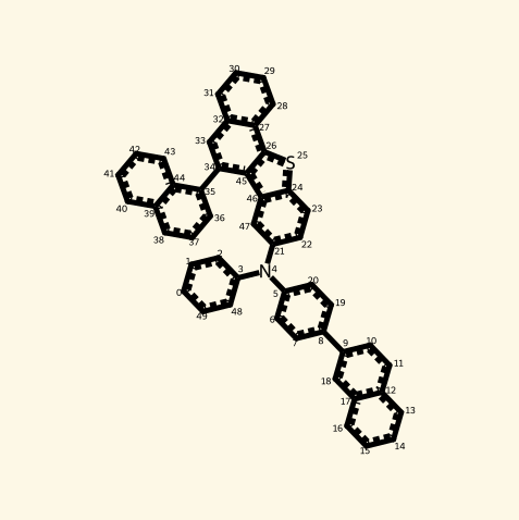 c1ccc(N(c2ccc(-c3ccc4ccccc4c3)cc2)c2ccc3sc4c5ccccc5cc(-c5cccc6ccccc56)c4c3c2)cc1